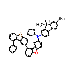 CC(C)(C)c1ccc2c(c1)C(C)(C)c1cc(N(c3ccccc3)c3ccc4oc5cccc(-c6ccc7sc8cccc(-c9ccccc9)c8c7c6)c5c4c3)ccc1-2